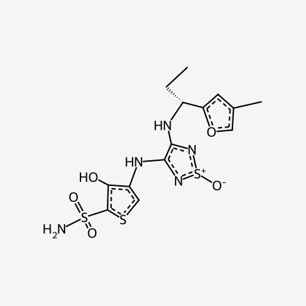 CC[C@@H](Nc1n[s+]([O-])nc1Nc1csc(S(N)(=O)=O)c1O)c1cc(C)co1